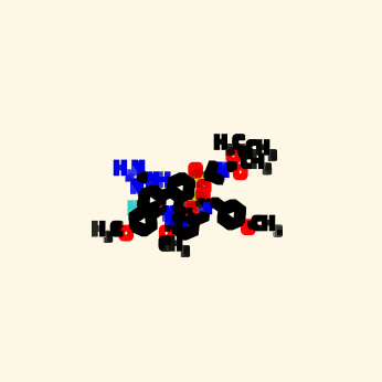 COc1ccc(CN(Cc2ccc(OC)cc2)S(=O)(=O)c2c(S(=O)(=O)C3CN(C(=O)OC(C)(C)C)C3)ccc(-c3ccc(F)c4nc(N)[nH]c34)c2-c2nnnn2Cc2ccc(OC)cc2)cc1